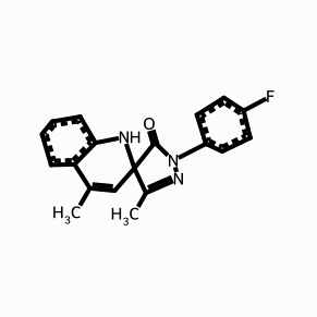 CC1=CC2(Nc3ccccc31)C(=O)N(c1ccc(F)cc1)N=C2C